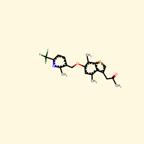 CC(=O)Cc1csc2c(C)c(OCc3ccc(C(F)(F)F)nc3C)cc(C)c12